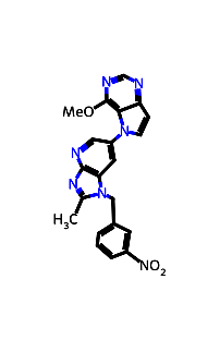 COc1ncnc2ccn(-c3cnc4nc(C)n(Cc5cccc([N+](=O)[O-])c5)c4c3)c12